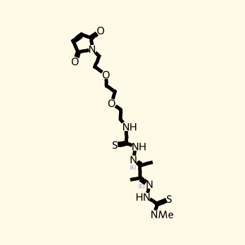 CNC(=S)N/N=C(C)/C(C)=N/NC(=S)NCCOCCOCCN1C(=O)C=CC1=O